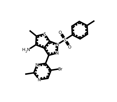 Cc1ccc(S(=O)(=O)n2nc(-c3nc(C)ncc3Br)c3c(N)c(C)sc32)cc1